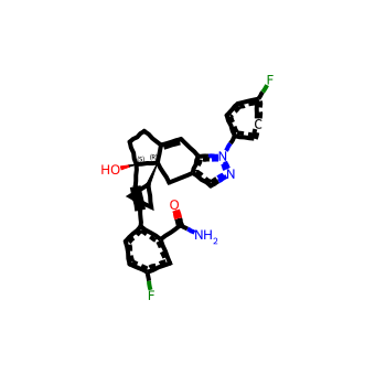 NC(=O)c1cc(F)ccc1C#C[C@]1(O)CCC2=Cc3c(cnn3-c3ccc(F)cc3)C[C@@]21C1CC1